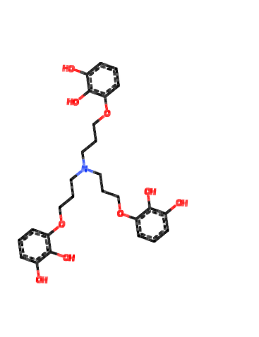 Oc1cccc(OCCCN(CCCOc2cccc(O)c2O)CCCOc2cccc(O)c2O)c1O